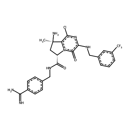 C[C@@]1(N)C[C@@H](C(=O)NCc2ccc(C(=N)N)cc2)n2c1c(Cl)nc(NCc1cccc(C(F)(F)F)c1)c2=O